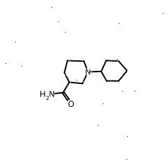 NC(=O)C1CCCN(C2CCCCC2)C1